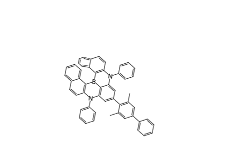 Cc1cc(-c2ccccc2)cc(C)c1-c1cc2c3c(c1)N(c1ccccc1)c1ccc4ccccc4c1B3c1c(ccc3ccccc13)N2c1ccccc1